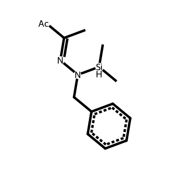 CC(=O)C(C)=NN(Cc1ccccc1)[SiH](C)C